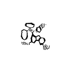 CC(C)(C)c1ccc2c(c1)-c1cc(C(C)(C)C)c[c]([Zr+2]([C]3=CC=CC3)=[Si](C3CCCCC3)C3CCCCC3)c1C2.[Cl-].[Cl-]